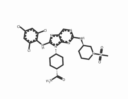 CS(=O)(=O)N1CCC[C@@H](Nc2ncc3nc(Nc4c(Cl)cc(Cl)cc4Cl)n([C@H]4CC[C@@H](C(N)=O)CC4)c3n2)C1